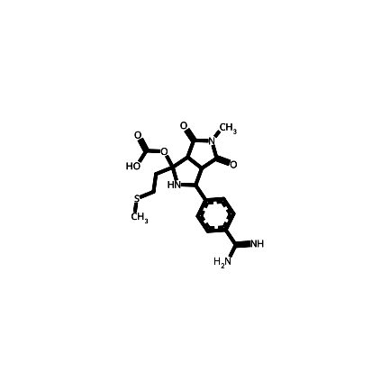 CSCCC1(OC(=O)O)NC(c2ccc(C(=N)N)cc2)C2C(=O)N(C)C(=O)C21